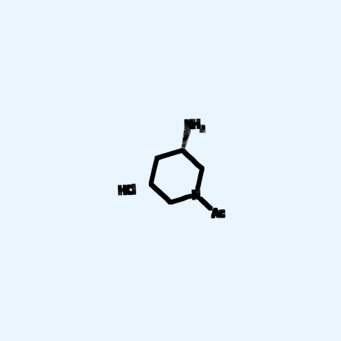 CC(=O)N1CCC[C@H](N)C1.Cl